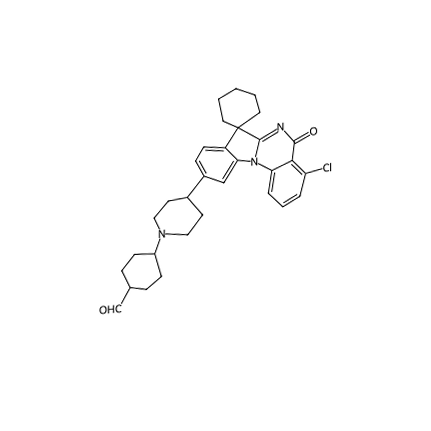 O=CC1CCC(N2CCC(c3ccc4c(c3)-n3c(nc(=O)c5c(Cl)cccc53)C43CCCCC3)CC2)CC1